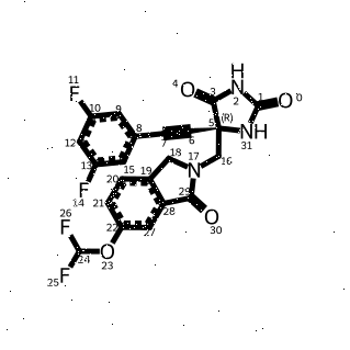 O=C1NC(=O)[C@@](C#Cc2cc(F)cc(F)c2)(CN2Cc3ccc(OC(F)F)cc3C2=O)N1